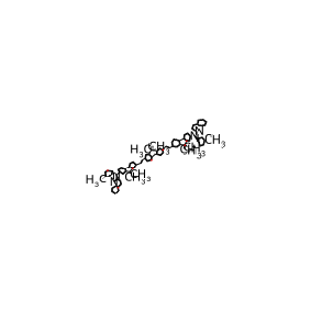 Cc1cccc(N(c2ccc3c(c2)C(C)(C)c2cc(/C=C/c4ccc5c(c4)C(C)(C)c4cc(/C=C/c6ccc7c(c6)C(C)(C)c6cc(N(c8cccc(C)c8)c8ccc9ccccc9n8)ccc6-7)ccc4-5)ccc2-3)c2ccc3ccccc3n2)c1